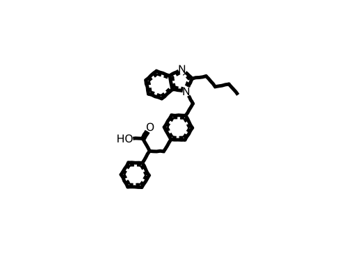 CCCCc1nc2ccccc2n1Cc1ccc(CC(C(=O)O)c2ccccc2)cc1